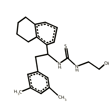 Cc1cc(C)cc(CC(NC(=S)NCCO)c2cccc3c2CCCC3)c1